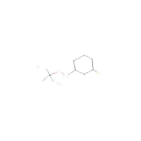 COC(C)(OC)O[SiH2]C1CCCC(S)C1